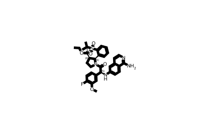 CCOC(=O)[C@@H]1CCN(C(=O)[C@@H](Nc2ccc3c(N)nccc3c2)c2ccc(F)c(OC)c2)[C@@H]1c1ccccc1S(=O)(=O)C(C)C